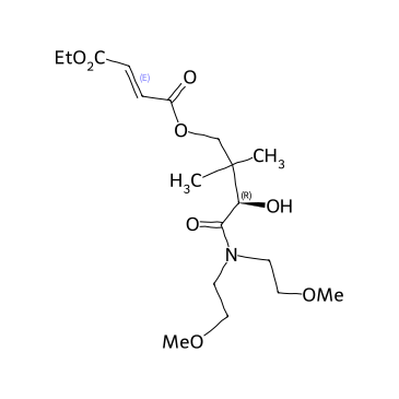 CCOC(=O)/C=C/C(=O)OCC(C)(C)[C@@H](O)C(=O)N(CCOC)CCOC